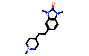 CN1CCC(CCc2ccc3c(c2)n(C)c(=O)n3C)CC1